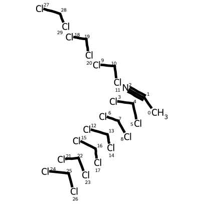 CC#N.ClCCl.ClCCl.ClCCl.ClCCl.ClCCl.ClCCl.ClCCl.ClCCl.ClCCl